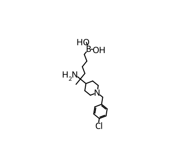 CC(N)(CCCCB(O)O)C1CCN(Cc2ccc(Cl)cc2)CC1